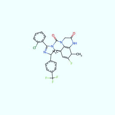 CC1C(F)=CC2(C)C3=C1NC(=O)CN3C(=O)N1C(c3ccccc3Cl)=NC(c3ccc(C(F)(F)F)cc3)C12